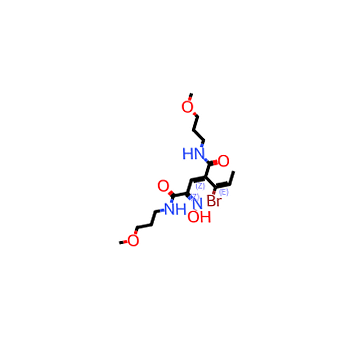 C\C=C(Br)/C(=C\C(=N\O)C(=O)NCCCOC)C(=O)NCCCOC